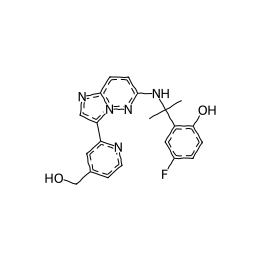 CC(C)(Nc1ccc2ncc(-c3cc(CO)ccn3)n2n1)c1cc(F)ccc1O